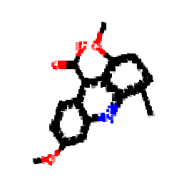 COc1ccc2c(C(=O)O)c3c(OC)ccc(C)c3nc2c1